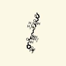 Cc1ccc(CC(=O)N/C(N)=C/N(N)CCCCN(N)/C=C(\N)C(=O)NCc2cccc(OC(F)(F)F)c2)cn1